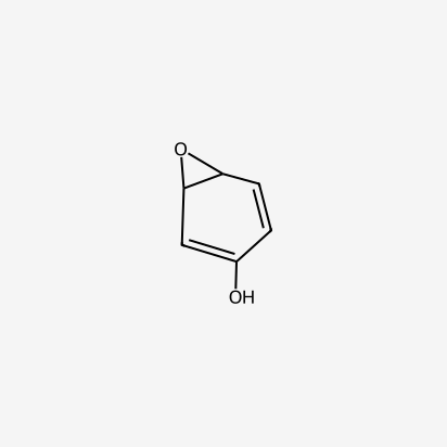 OC1=CC2OC2C=C1